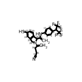 C=C(Nc1ccc(C(C(F)(F)F)C(F)(F)F)cc1)C1c2ccc(S)cc2CN1C(=C)CCC#N